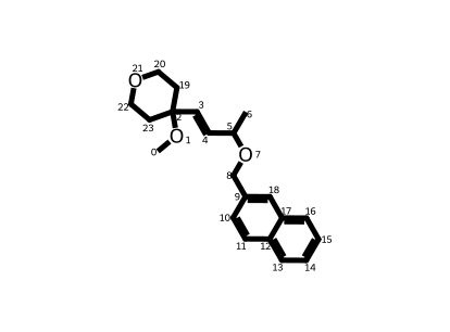 COC1(/C=C/C(C)OCc2ccc3ccccc3c2)CCOCC1